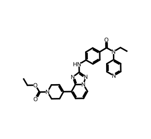 CCOC(=O)N1CC=C(c2cccn3nc(Nc4ccc(C(=O)N(CC)c5ccncc5)cc4)nc23)CC1